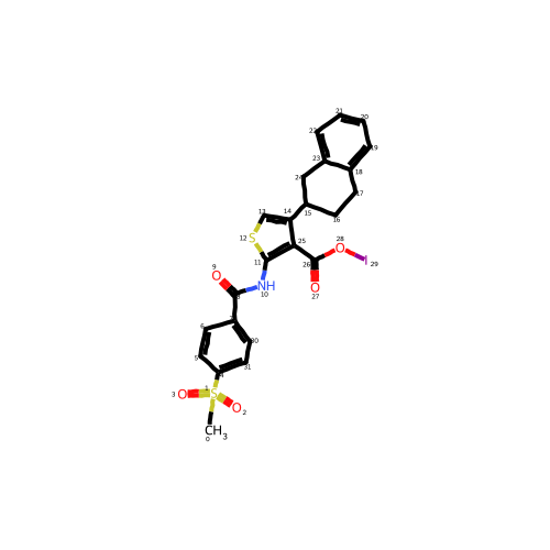 CS(=O)(=O)c1ccc(C(=O)Nc2scc(C3CCc4ccccc4C3)c2C(=O)OI)cc1